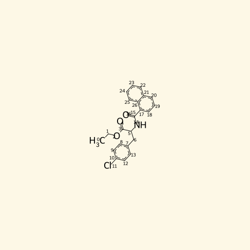 CCOC(=O)C(Cc1ccc(Cl)cc1)NC(=O)c1cccc2ccccc12